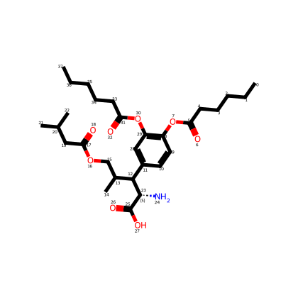 CCCCCC(=O)Oc1ccc(C(C(C)COC(=O)CC(C)C)[C@H](N)C(=O)O)cc1OC(=O)CCCCC